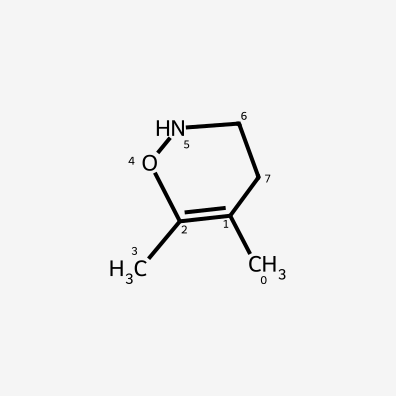 CC1=C(C)ONCC1